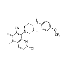 C[C@@H]1CN(c2c(C#N)c(=O)n(C)c3ccc(Cl)nc23)CC[C@@H]1N(C)c1ccc(OC(F)(F)F)cc1